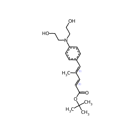 CC(/C=C/C(=O)OC(C)(C)C)=C\c1ccc(N(CCO)CCO)cc1